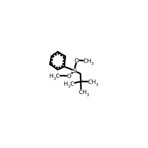 CO[Si](CC(C)(C)C)(OC)c1ccccc1